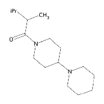 CC(C)C(C)C(=O)N1CCC(N2CCCCC2)CC1